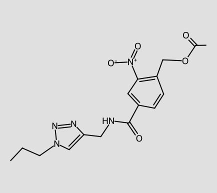 CCCn1cc(CNC(=O)c2ccc(COC(C)=O)c([N+](=O)[O-])c2)nn1